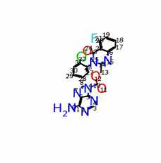 Nc1ncnc2c1ncn2C(=O)OCc1nc2cccc(F)c2c(=O)n1-c1ccccc1Cl